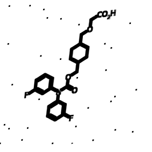 O=C(O)COCC1CCC(COC(=O)N(c2cccc(F)c2)c2cccc(F)c2)CC1